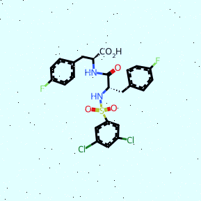 O=C(O)[C@H](Cc1ccc(F)cc1)NC(=O)[C@H](Cc1ccc(F)cc1)NS(=O)(=O)c1cc(Cl)cc(Cl)c1